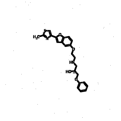 Cc1nc(-c2cc3cc(OCCNC[C@H](O)COc4ccccc4)ccc3o2)cs1